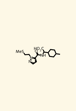 CSCCn1nccc1C(=O)NC(C(=O)O)C1CCC(C)CC1